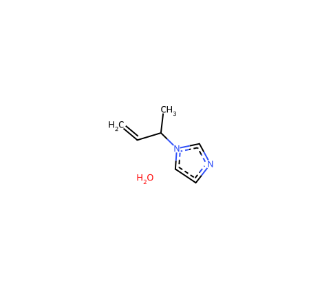 C=CC(C)n1ccnc1.O